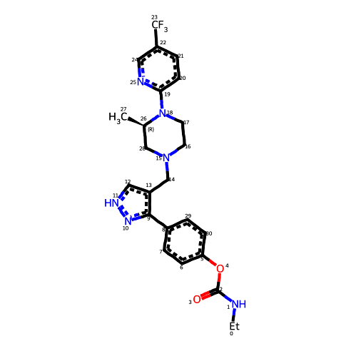 CCNC(=O)Oc1ccc(-c2n[nH]cc2CN2CCN(c3ccc(C(F)(F)F)cn3)[C@H](C)C2)cc1